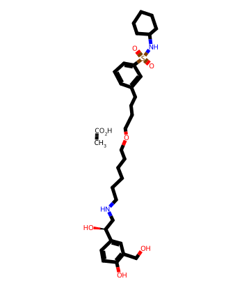 CC(=O)O.O=S(=O)(NC1CCCCC1)c1cccc(CCCCOCCCCCCNC[C@H](O)c2ccc(O)c(CO)c2)c1